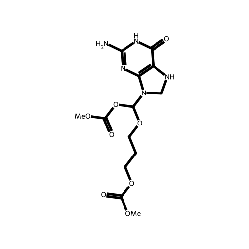 COC(=O)OCCCOC(OC(=O)OC)N1CNc2c1nc(N)[nH]c2=O